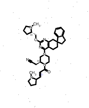 CN1CCCC1/C=C/C(=O)N1CCN(c2nc(OC[C@@H]3CCCN3C)nc3c2CCC2(CCc4ccccc42)C3)C[C@@H]1CC#N